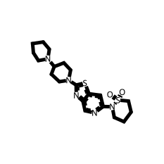 O=S1(=O)CCCCN1c1cc2sc(N3CCC(N4CCCCC4)CC3)nc2cn1